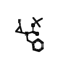 CC(C)(C)OC(=O)N(Cc1ccccc1)C1CC1F